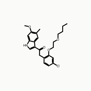 CCCCOCCOc1cc(Cl)ccc1CC(=O)c1c[nH]c2cc(OC)c(C)cc12